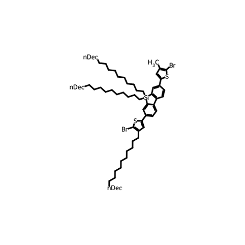 CCCCCCCCCCCCCCCCCCCCc1cc(-c2ccc3c(c2)[Si](CCCCCCCCCCCCCCCCCCCC)(CCCCCCCCCCCCCCCCCCCC)c2cc(-c4cc(C)c(Br)s4)ccc2-3)sc1Br